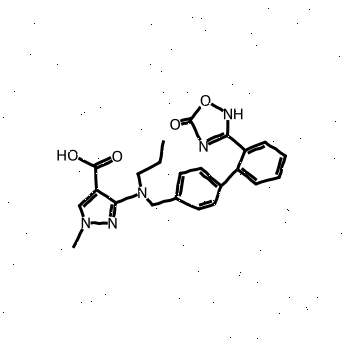 CCCN(Cc1ccc(-c2ccccc2-c2nc(=O)o[nH]2)cc1)c1nn(C)cc1C(=O)O